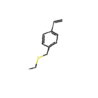 [CH2]CSCc1ccc(C=C)cc1